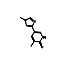 Cc1cc(-c2cn(C)cn2)c[nH]c1=O